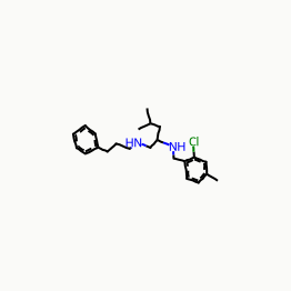 Cc1ccc(CNC(CNCCCc2ccccc2)CC(C)C)c(Cl)c1